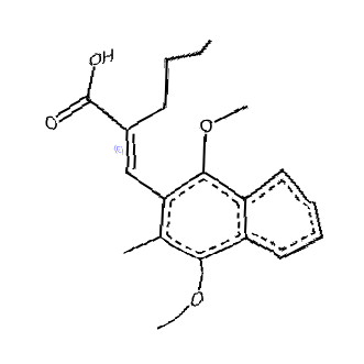 CCC/C(=C\c1c(C)c(OC)c2ccccc2c1OC)C(=O)O